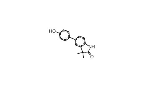 CC1(C)C(=O)Nc2ccc(-c3ccc(O)cc3)cc21